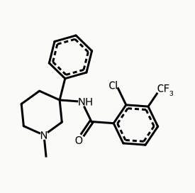 CN1CCCC(NC(=O)c2cccc(C(F)(F)F)c2Cl)(c2ccccc2)C1